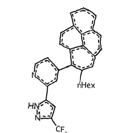 CCCCCCc1cc2ccc3cccc4ccc(c1-c1ccnc(-c5cc(C(F)(F)F)n[nH]5)c1)c2c34